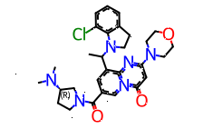 CC(c1cc(C(=O)N2CC[C@@H](N(C)C)C2)cn2c(=O)cc(N3CCOCC3)nc12)N1CCc2cccc(Cl)c21